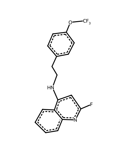 Fc1cc(NCCc2ccc(OC(F)(F)F)cc2)c2ccccc2n1